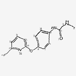 CNC(=O)Nc1ccc(Oc2cccc(F)n2)cc1